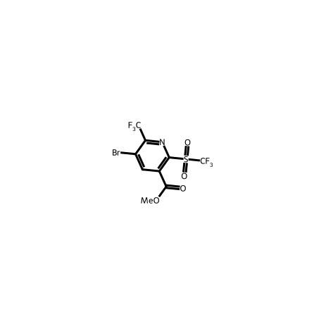 COC(=O)c1cc(Br)c(C(F)(F)F)nc1S(=O)(=O)C(F)(F)F